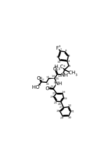 CC(C)(Cc1ccc(F)cc1)NC(=O)[C@H](CCC(=O)O)NC(=O)c1ccc(-c2ccccc2)cc1